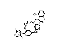 COc1cc(Nc2ncc3c(n2)N(C)CN(c2c(Cl)cccc2Cl)C3=O)ccc1N1C[C@@H]2C[C@H]1CN2